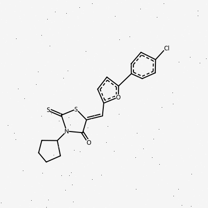 O=C1/C(=C/c2ccc(-c3ccc(Cl)cc3)o2)SC(=S)N1C1CCCC1